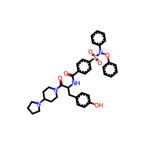 O=C(NC(Cc1ccc(O)cc1)C(=O)N1CCC(N2CCCC2)CC1)c1ccc(S(=O)(=O)N(Oc2ccccc2)c2ccccc2)cc1